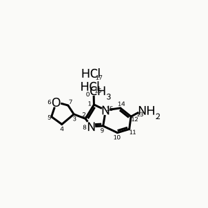 Cc1c(C2CCOC2)nc2ccc(N)cn12.Cl.Cl